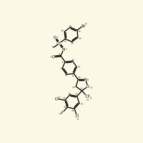 CS(=O)(=NC(=O)c1ccc(C2=NOC(c3cc(Cl)c(F)c(Cl)c3)(C(F)(F)F)C2)cc1)c1ccc(Br)cc1